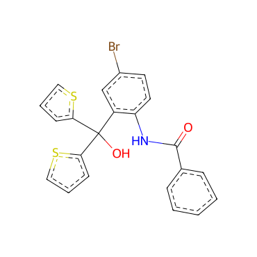 O=C(Nc1ccc(Br)cc1C(O)(c1cccs1)c1cccs1)c1ccccc1